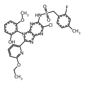 CCOC1=NC(c2nc3nc(Cl)c(NS(=O)(=O)Cc4ccc(C)cc4F)nc3n2-c2c(O)cccc2OC)=C=C=C1